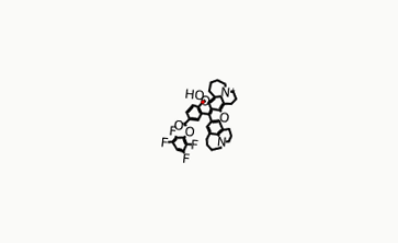 O=C(Oc1c(F)c(F)cc(F)c1F)c1ccc(C(=O)O)c(C2=c3cc4c5c(c3Oc3c2cc2c6c3CCCN6CCCC2)CCC[N+]=5CCCC4)c1